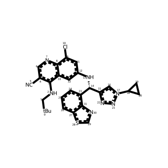 CC(C)(C)CNc1c(C#N)cnc2c(Cl)cc(N[C@H](c3cn(C4CC4)nn3)c3cccc4scnc34)cc12